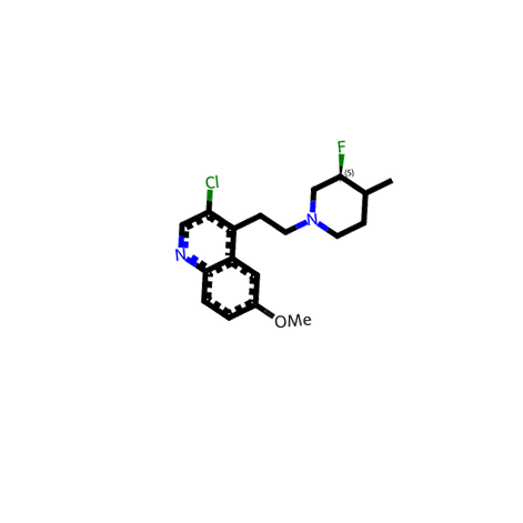 COc1ccc2ncc(Cl)c(CCN3CCC(C)[C@H](F)C3)c2c1